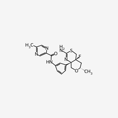 Cc1cnc(C(=O)Nc2cccc([C@]34CO[C@@H](C)C[C@@]3(F)CSC(N)=N4)c2)cn1